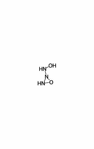 ONn1[nH]o1